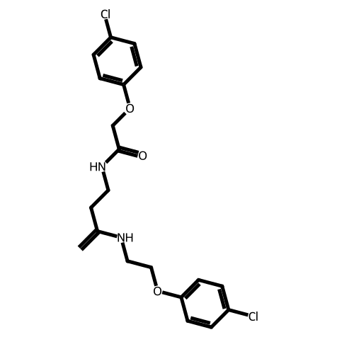 C=C(CCNC(=O)COc1ccc(Cl)cc1)NCCOc1ccc(Cl)cc1